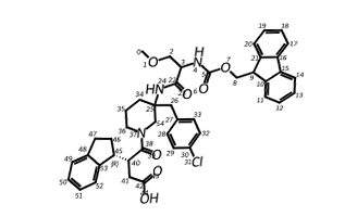 COCC(NC(=O)OCC1c2ccccc2-c2ccccc21)C(=O)NC1(Cc2ccc(Cl)cc2)CCCN(C(=O)C(CC(=O)O)[C@H]2CCc3ccccc32)C1